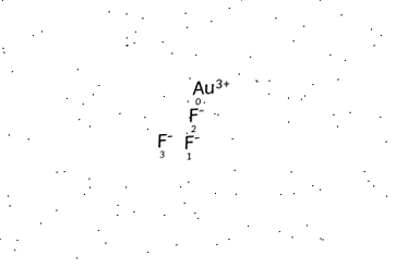 [Au+3].[F-].[F-].[F-]